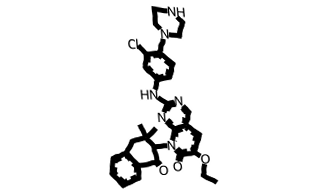 CCOc1cc2cnc(Nc3ccc(N4CCNCC4)c(Cl)c3)nc2n(C2C(=O)c3ccccc3CC2(C)C)c1=O